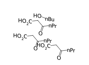 CCCC(=O)CC(=O)O.CCCC(=O)CC(=O)O.CCCC(=O)CC(=O)O.CCCCO